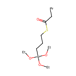 CCO[Si](CCCSC(=O)CC(C)C)(OCC)OCC